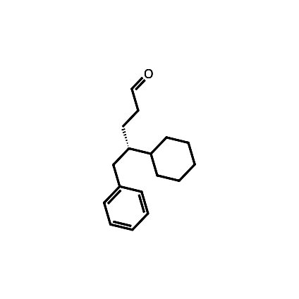 O=CCC[C@@H](Cc1ccccc1)C1CCCCC1